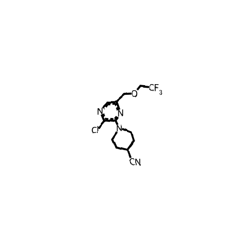 N#CC1CCN(c2nc(COCC(F)(F)F)cnc2Cl)CC1